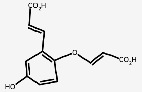 O=C(O)C=COc1ccc(O)cc1C=CC(=O)O